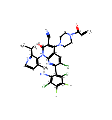 C=CC(=O)N1CCN(c2c(C#N)c(=O)n(-c3c(C)ccnc3C(C)C)c3nc(-c4c(N)c(Cl)c(F)c(F)c4Cl)c(Cl)cc23)CC1